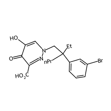 CCCC(CC)(Cn1cc(O)c(=O)c(C(=O)O)n1)c1cccc(Br)c1